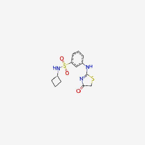 O=C1CSC(Nc2cccc(S(=O)(=O)NC3CCC3)c2)=N1